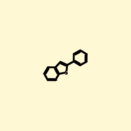 [c]1cccc2cc(-c3ccccc3)sc12